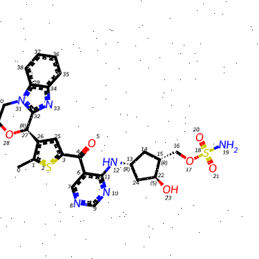 Cc1sc(C(=O)c2cncnc2N[C@@H]2C[C@H](COS(N)(=O)=O)[C@@H](O)C2)cc1[C@H]1OCCn2c1nc1ccccc12